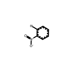 [N]c1ccccc1[N+](=O)[O-]